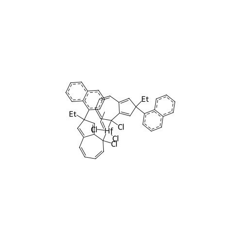 C[CH]=[Hf]([Cl])([Cl])([C]1(Cl)C=CC=CC2=CC(CC)(c3cccc4ccccc34)C=C21)[C]1(Cl)C=CC=CC2=CC(CC)(c3cccc4ccccc34)C=C21